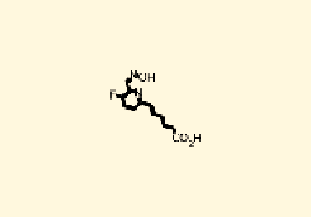 O=C(O)CCC/C=C/c1ccc(F)c(/C=N\O)n1